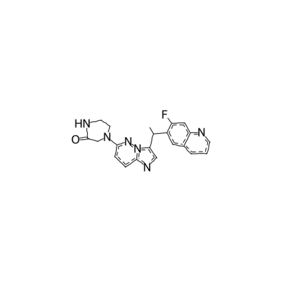 CC(c1cc2cccnc2cc1F)c1cnc2ccc(N3CCNC(=O)C3)nn12